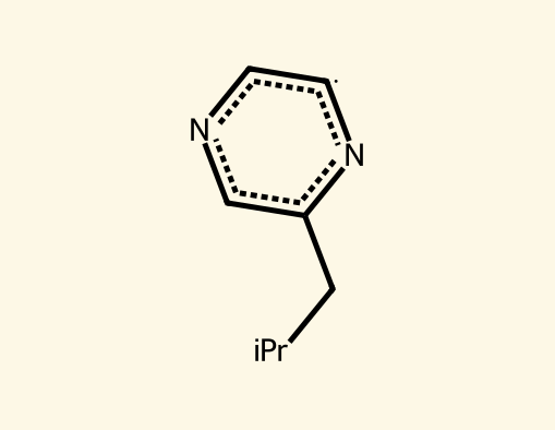 CC(C)Cc1cnc[c]n1